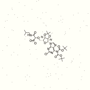 CC(C)CNC(=O)C(OC[C@H]1O[C@@H](n2cnc3c(N(C(=O)OC(C)(C)C)C(=O)OC(C)(C)C)nc(Cl)nc32)[C@@H]2OC(C)(C)O[C@@H]21)P(=O)=O